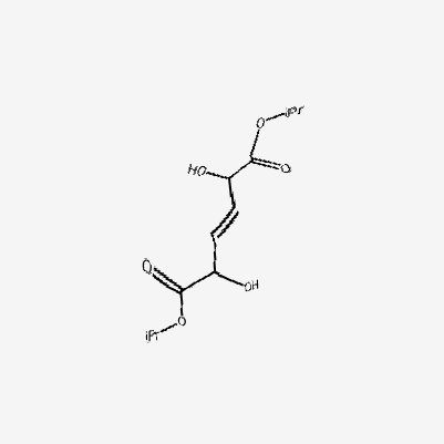 CC(C)OC(=O)C(O)/C=C/C(O)C(=O)OC(C)C